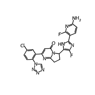 Nc1ccc(-c2nc(F)c(C3CCc4nc(-c5cc(Cl)ccc5-n5cnnn5)cc(=O)n43)[nH]2)c(F)n1